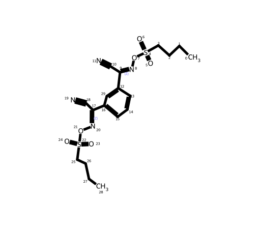 CCCCS(=O)(=O)O/N=C(\C#N)c1cccc(/C(C#N)=N/OS(=O)(=O)CCCC)c1